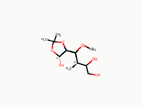 CCCCOC(C1OC(C)(C)O[C@H]1O)[C@H](C)C(O)CO